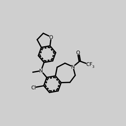 CN(c1ccc2c(c1)CCO2)c1c(Cl)ccc2c1CCN(C(=O)C(F)(F)F)CC2